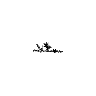 CCCCCCCCCOC(=O)CCCCCCCN(CCCCCCCC(=O)OC(CCCCCCCC)CCCCCCCC)CCCN=C(NC(=O)OC(C)(C)C)NC(=O)OC(C)(C)C